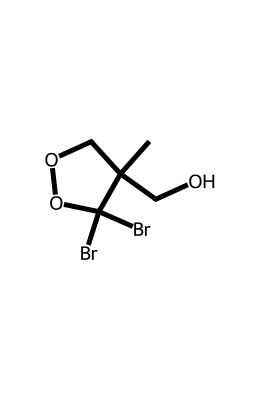 CC1(CO)COOC1(Br)Br